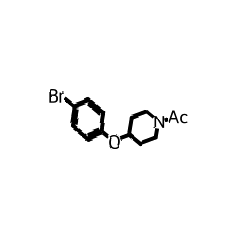 CC(=O)N1CCC(Oc2ccc(Br)cc2)CC1